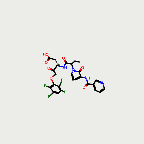 CCC(C(=O)N[C@@H](CC(=O)O)C(=O)COc1c(F)c(F)cc(F)c1F)n1cccc(NC(=O)c2cccnc2)c1=O